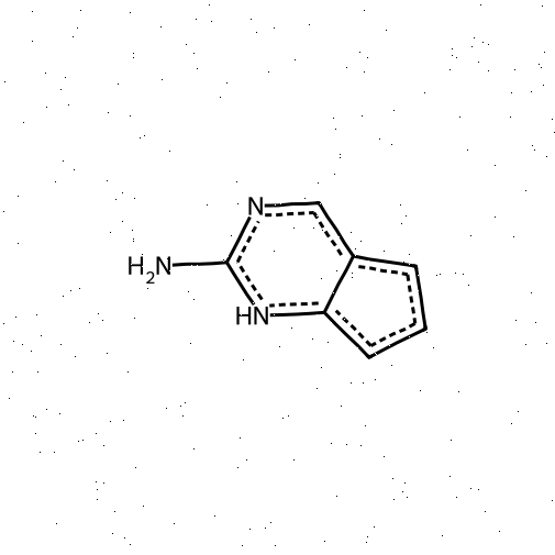 Nc1ncc2cccc-2[nH]1